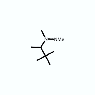 CNN(C)C(C)C(C)(C)C